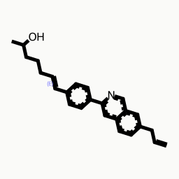 C=CCc1ccc2cc(-c3ccc(/C=C/CCCC(C)O)cc3)ncc2c1